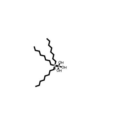 CCCCCCCC[SH](CCCCCCCC)(CCCCCCCC)=P(O)(O)O